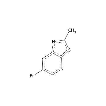 Cc1nc2cc(Br)cnc2s1